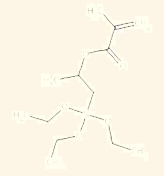 C=C(C)C(=O)OC(C)C[Si](OCC)(OCC)OCC